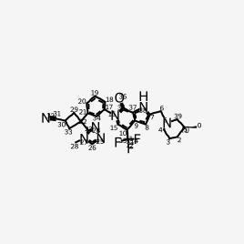 C[C@H]1CCCN(Cc2cc3c(C(F)(F)F)cn(-c4cccc(C5(c6nncn6C)CC(C#N)C5)c4)c(=O)c3[nH]2)C1